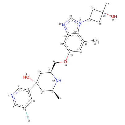 C[C@H]1C[C@@](O)(c2cncc(F)c2)C[C@@H](COc2cc(C(F)(F)F)c3c(c2)ncn3C2CC(C)(O)C2)N1